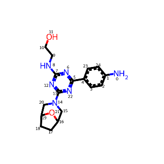 Nc1ccc(-c2nc(NCCO)nc(N3CC4CCC(C3)O4)n2)cc1